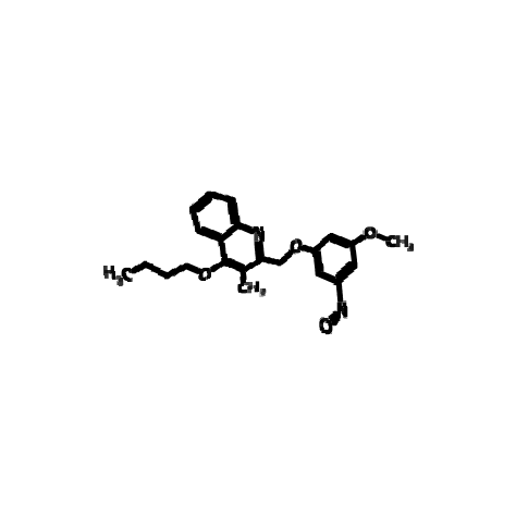 CCCCOc1c(C)c(COc2cc(N=O)cc(OC)c2)nc2ccccc12